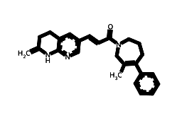 C=C1CCc2cc(/C=C/C(=O)N3CCCC(c4ccccc4)=C(C)C3)cnc2N1